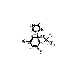 FC(F)(F)C(F)(F)OC1(n2cncn2)C=C(Br)C=C(Br)C1